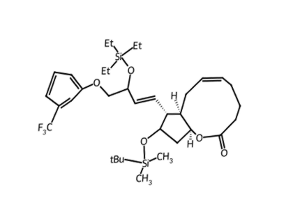 CC[Si](CC)(CC)OC(/C=C/[C@H]1C(O[Si](C)(C)C(C)(C)C)C[C@@H]2OC(=O)CCCC=CC[C@@H]21)COc1cccc(C(F)(F)F)c1